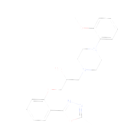 COc1ccccc1N1CCN(CC(O)COc2ccccc2-c2nnc(C)o2)CC1